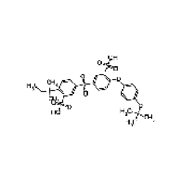 CCC(C)(C)c1ccc(S(=O)(=O)c2ccc(Oc3ccc(OC(C)(C)C)cc3)c(S(=O)(=O)O)c2)cc1S(=O)(=O)O